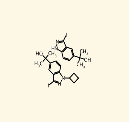 CC(C)(O)c1ccc2[nH]nc(I)c2c1.CC(C)(O)c1ccc2c(c1)c(I)nn2C1CCC1